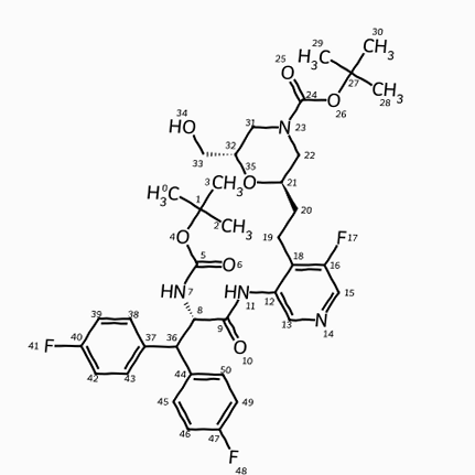 CC(C)(C)OC(=O)N[C@H](C(=O)Nc1cncc(F)c1CC[C@@H]1CN(C(=O)OC(C)(C)C)C[C@@H](CO)O1)C(c1ccc(F)cc1)c1ccc(F)cc1